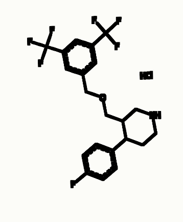 Cl.Fc1ccc(C2CCNCC2COCc2cc(C(F)(F)F)cc(C(F)(F)F)c2)cc1